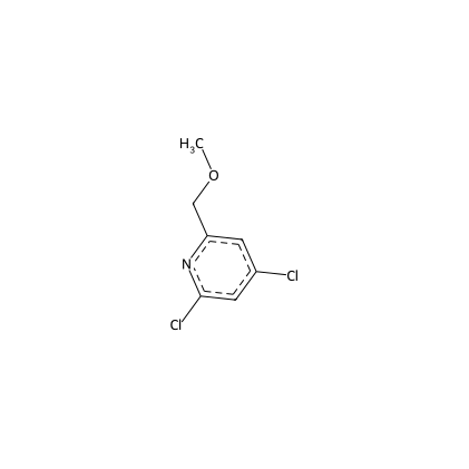 COCc1cc(Cl)cc(Cl)n1